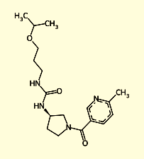 Cc1ccc(C(=O)N2CC[C@@H](NC(=O)NCCCOC(C)C)C2)cn1